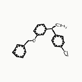 [CH2]C(c1ccc(Cl)cc1)c1cccc(OCc2ccccc2)c1